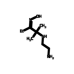 CCC(=NO)C(C)(C)NCCN